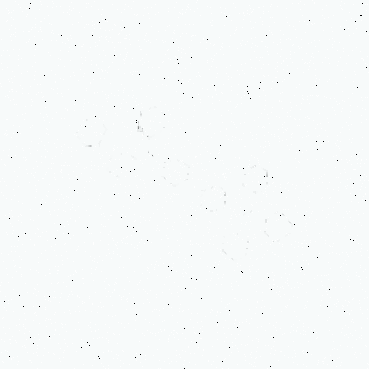 CC1(C)c2ccccc2-c2cccc(N(c3ccccc3)c3ccc(-c4ccc(C(=C(c5ccccc5)c5ccccc5)c5ccccc5)cc4)cc3)c21